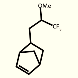 COC(CC1CC2C=CC1C2)C(F)(F)F